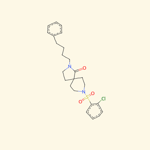 O=C1N(CCCCc2ccccc2)CCC12CCN(S(=O)(=O)c1ccccc1Cl)CC2